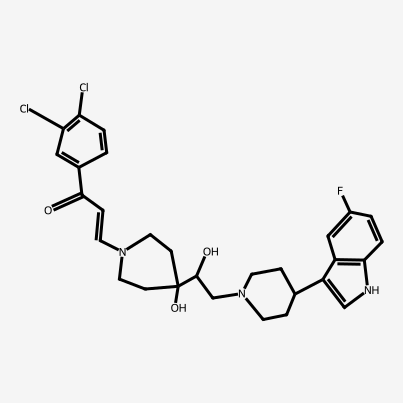 O=C(C=CN1CCC(O)(C(O)CN2CCC(c3c[nH]c4ccc(F)cc34)CC2)CC1)c1ccc(Cl)c(Cl)c1